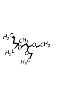 C=CCC(C)(C)OCC(OCC)OCC